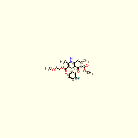 COCCOC(=O)C1=C(C)NC2=C(C(=O)C(C(=O)OC)C(C)C2)C1c1cccc(F)c1